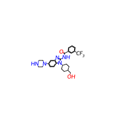 O=C(Nc1nc2cc(N3CCNCC3)ccc2n1C1CCC(CO)CC1)c1cccc(C(F)(F)F)c1